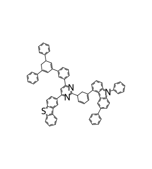 C1=CC(c2nc(-c3cccc(C4=CC(c5ccccc5)CC(c5ccccc5)=C4)c3)cc(-c3ccc4sc5ccccc5c4c3)n2)CC(c2cccc3c2c2cc(-c4ccccc4)ccc2n3-c2ccccc2)=C1